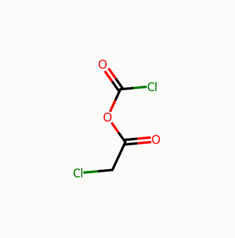 O=C(Cl)OC(=O)CCl